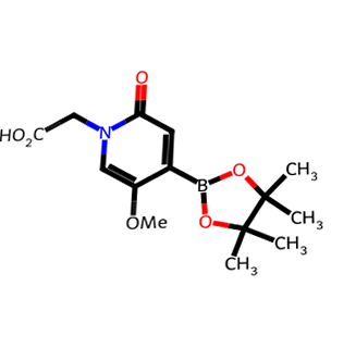 COc1cn(CC(=O)O)c(=O)cc1B1OC(C)(C)C(C)(C)O1